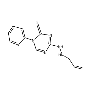 C=CCNNc1ncn(-c2ccccn2)c(=O)n1